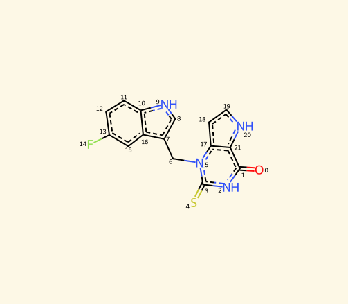 O=c1[nH]c(=S)n(Cc2c[nH]c3ccc(F)cc23)c2cc[nH]c12